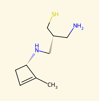 CC1=CC[C@@H]1NC[C@@H](CN)CS